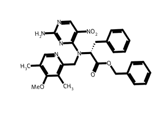 COc1c(C)cnc(CN(c2nc(N)ncc2[N+](=O)[O-])[C@H](Cc2ccccc2)C(=O)OCc2ccccc2)c1C